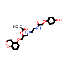 O=C(COc1ccc(O)cc1)NCCNCC(COc1cccc2c1CCOO2)OC(=O)C(=O)O